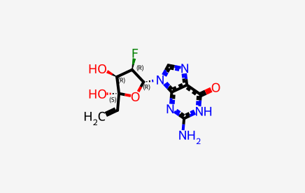 C=C[C@]1(O)O[C@@H](n2cnc3c(=O)[nH]c(N)nc32)[C@H](F)[C@@H]1O